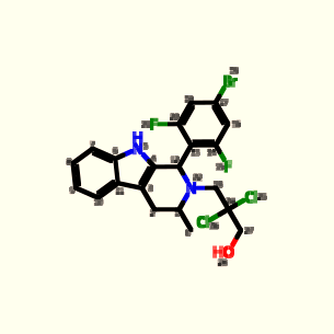 CC1Cc2c([nH]c3ccccc23)C(c2c(F)cc(Br)cc2F)N1CC(Cl)(Cl)CO